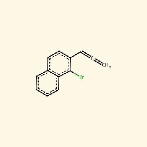 C=C=Cc1ccc2ccccc2c1Br